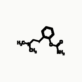 CN(C)C[CH]c1ccccc1OC(N)=O